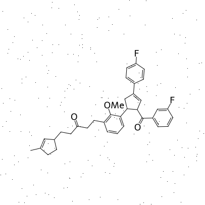 COc1c(CCC(=O)CCC2C=C(C)CC2)cccc1C1CC(c2ccc(F)cc2)=CC1C(=O)c1cccc(F)c1